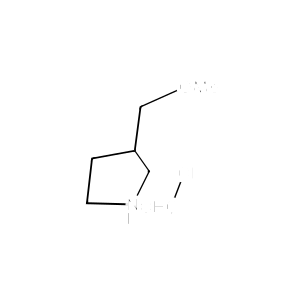 COCC1CCNC1.O=[C]O